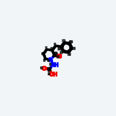 O=C(O)NN1CCCC(Cc2ccccc2)C1=O